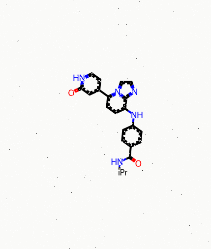 CC(C)NC(=O)c1ccc(Nc2ccc(-c3cc[nH]c(=O)c3)n3ccnc23)cc1